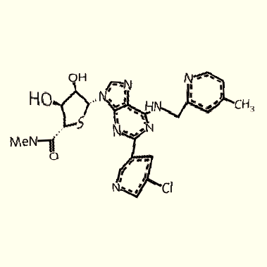 CNC(=O)[C@H]1S[C@@H](n2cnc3c(NCc4cc(C)ccn4)nc(-c4cncc(Cl)c4)nc32)[C@H](O)[C@@H]1O